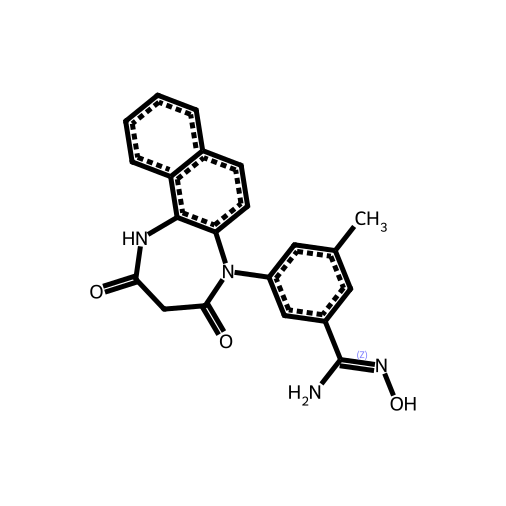 Cc1cc(/C(N)=N/O)cc(N2C(=O)CC(=O)Nc3c2ccc2ccccc32)c1